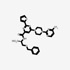 O=C(N[C@@H](COCc1ccccc1)C(=O)O)c1cc(N2CCN(c3nccc(C(F)(F)F)n3)CC2)nc(-c2cccs2)n1